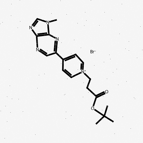 Cn1cnc2ncc(-c3cc[n+](CCC(=O)OC(C)(C)C)cc3)nc21.[Br-]